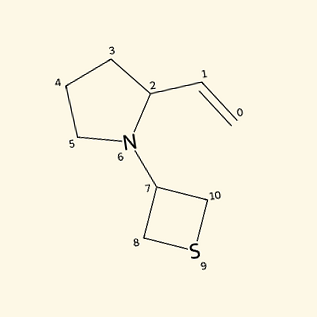 C=CC1CCCN1C1CSC1